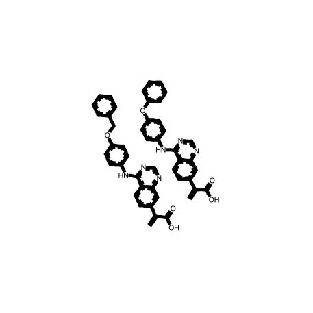 C=C(C(=O)O)c1ccc2c(Nc3ccc(OCc4ccccc4)cc3)ncnc2c1.C=C(C(=O)O)c1ccc2c(Nc3ccc(Oc4ccccc4)cc3)ncnc2c1